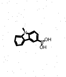 Cn1c2ccccc2c2cc(B(O)O)ccc21